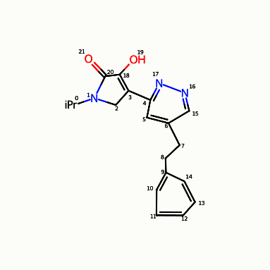 CC(C)N1CC(c2cc(CCc3ccccc3)cnn2)=C(O)C1=O